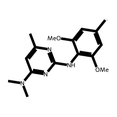 [CH2]c1cc(OC)c(Nc2nc(C)cc(N(C)C)n2)c(OC)c1